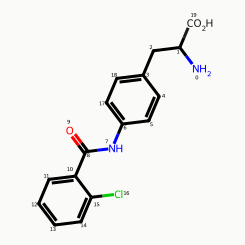 NC(Cc1ccc(NC(=O)c2ccccc2Cl)cc1)C(=O)O